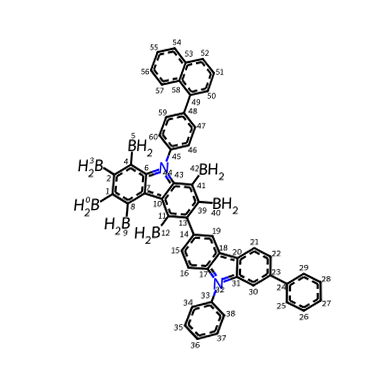 Bc1c(B)c(B)c2c(c1B)c1c(B)c(-c3ccc4c(c3)c3ccc(-c5ccccc5)cc3n4-c3ccccc3)c(B)c(B)c1n2-c1ccc(-c2cccc3ccccc23)cc1